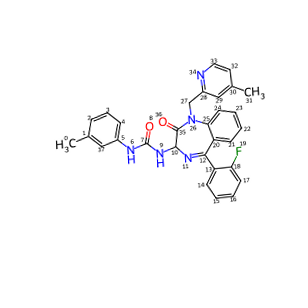 Cc1cccc(NC(=O)NC2N=C(c3ccccc3F)c3ccccc3N(Cc3cc(C)ccn3)C2=O)c1